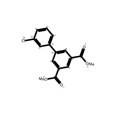 COC(=O)c1cc(C(=O)OC)cc(-c2cccc(Cl)c2)c1